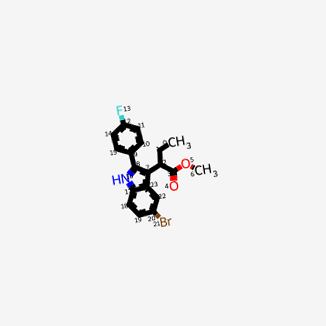 CCC(C(=O)OC)c1c(-c2ccc(F)cc2)[nH]c2ccc(Br)cc12